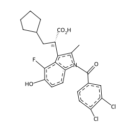 Cc1c([C@H](CC2CCCC2)C(=O)O)c2c(F)c(O)ccc2n1C(=O)c1ccc(Cl)c(Cl)c1